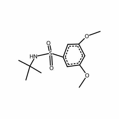 COc1cc(OC)cc(S(=O)(=O)NC(C)(C)C)c1